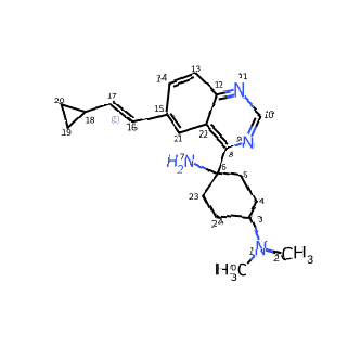 CN(C)C1CCC(N)(c2ncnc3ccc(/C=C/C4CC4)cc23)CC1